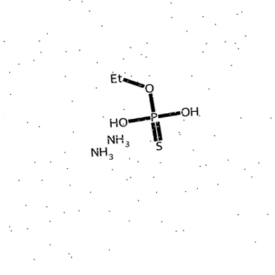 CCOP(O)(O)=S.N.N